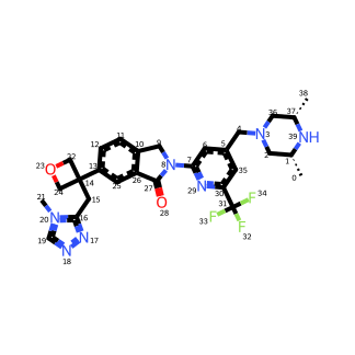 C[C@@H]1CN(Cc2cc(N3Cc4ccc(C5(Cc6nncn6C)COC5)cc4C3=O)nc(C(F)(F)F)c2)C[C@H](C)N1